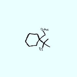 CCC(C)(C)C1(COC(C)=O)CCCCC1